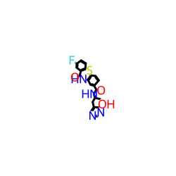 O=C(NC(CO)Cc1cncnc1)c1ccc2c(c1)NC(=O)c1cc(F)ccc1S2